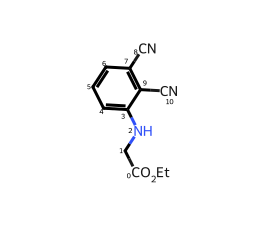 CCOC(=O)CNc1cccc(C#N)c1C#N